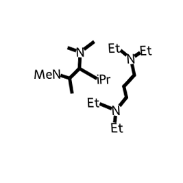 CCN(CC)CCCN(CC)CC.CNC(C)C(C(C)C)N(C)C